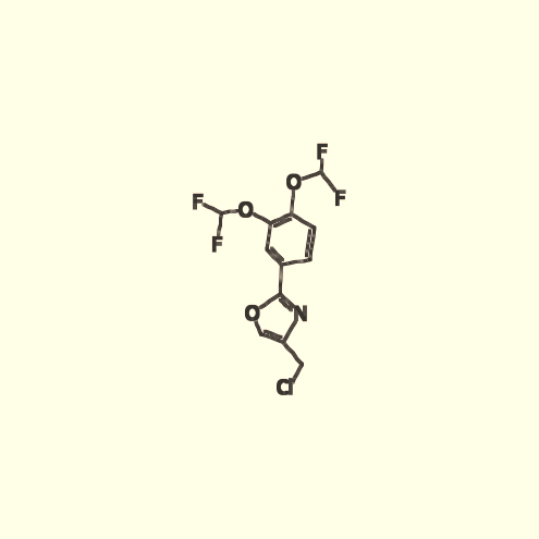 FC(F)Oc1ccc(-c2nc(CCl)co2)cc1OC(F)F